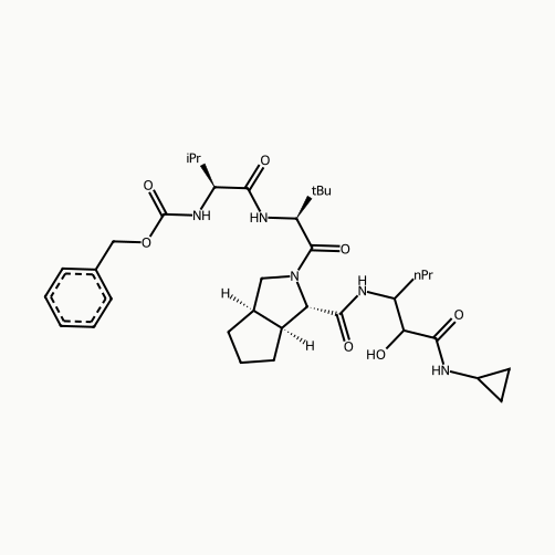 CCCC(NC(=O)[C@@H]1[C@H]2CCC[C@H]2CN1C(=O)[C@@H](NC(=O)[C@@H](NC(=O)OCc1ccccc1)C(C)C)C(C)(C)C)C(O)C(=O)NC1CC1